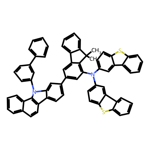 CC1(C)c2ccccc2-c2cc(-c3ccc4c5ccc6ccccc6c5n(-c5cccc(-c6ccccc6)c5)c4c3)cc(N(c3ccc4sc5ccccc5c4c3)c3ccc4sc5ccccc5c4c3)c21